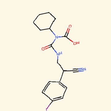 N#CC(CNC(=O)N(C(=O)O)C1CCCCC1)c1ccc(I)cc1